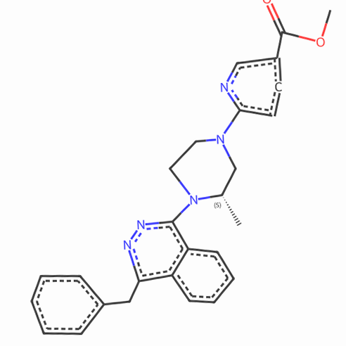 COC(=O)c1ccc(N2CCN(c3nnc(Cc4ccccc4)c4ccccc34)[C@@H](C)C2)nc1